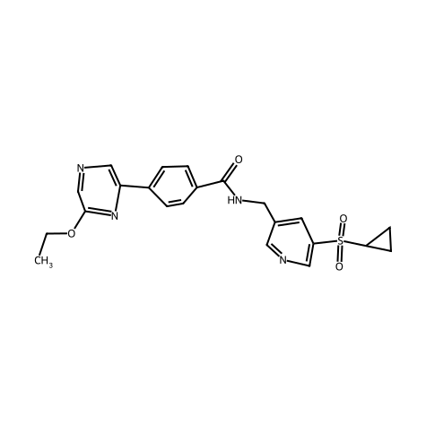 CCOc1cncc(-c2ccc(C(=O)NCc3cncc(S(=O)(=O)C4CC4)c3)cc2)n1